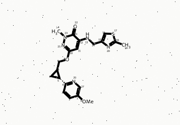 COc1ccc([C@@H]2CC2COc2cc(NCc3csc(C)n3)c(=O)n(C)n2)nc1